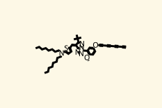 C#CC#CC#CC#COc1ccc(OC)c(-c2nnc3/c(=C\c4ccc(N(CCCCCCCC)CCCCCCCC)s4)c(C(C)(C)C)nn23)c1